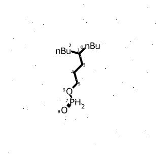 CCCCC(CCCC)CCCO[PH2]=O